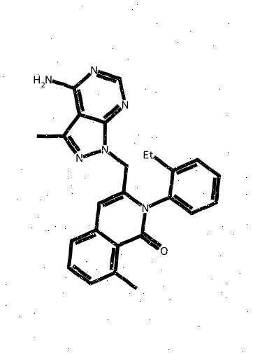 CCc1ccccc1-n1c(Cn2nc(C)c3c(N)ncnc32)cc2cccc(C)c2c1=O